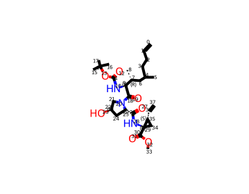 C=CCCC(C)C[C@@H](C)[C@H](NC(=O)OC(C)(C)C)C(=O)N1C[C@H](O)C[C@H]1C(=O)N[C@]1(C(=O)OC)C[C@H]1C=C